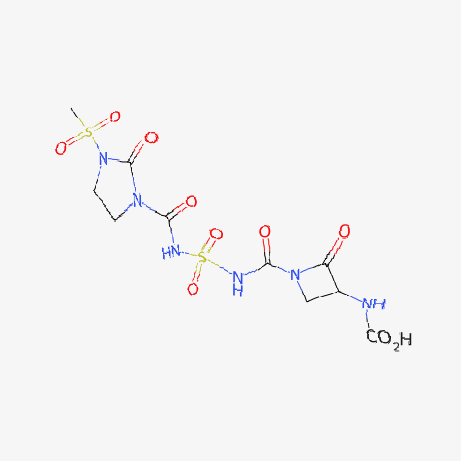 CS(=O)(=O)N1CCN(C(=O)NS(=O)(=O)NC(=O)N2CC(NC(=O)O)C2=O)C1=O